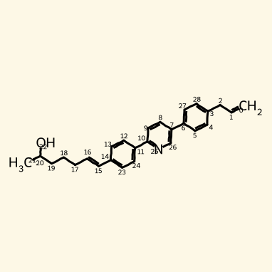 C=CCc1ccc(-c2ccc(-c3ccc(C=CCCCC(C)O)cc3)nc2)cc1